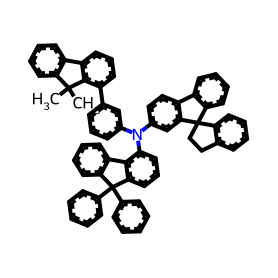 CC1(C)c2ccccc2-c2cccc(-c3cccc(N(c4ccc5c(c4)C4(CCc6ccccc64)c4ccccc4-5)c4cccc5c4-c4ccccc4C5(c4ccccc4)c4ccccc4)c3)c21